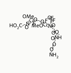 COc1cc2c(c(F)c1OCCCOc1c(OC)cc3c(c1F)CN(C(=O)CCC(=O)O[C@@H](C)CNC(=O)CCOCCOCCN)C3)CN(C(=O)CCC(=O)O)C2.O=CC(F)(F)F